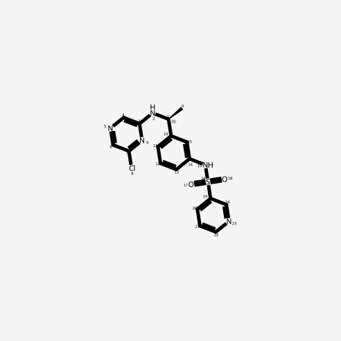 C[C@H](Nc1cncc(Cl)n1)c1cccc(NS(=O)(=O)c2cccnc2)c1